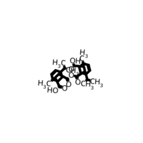 CC(C)C12C=CC(C)(CC1)C(C(=O)O)C2C(=O)OC(=O)C1C(C(=O)O)C2(C)C=CC1(C(C)C)CC2